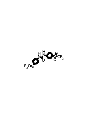 O=C(Nc1ccc(SC(F)(F)F)cc1)Nc1ccc(S(=O)(=O)C(F)(F)F)cc1